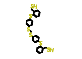 SCc1ccccc1Sc1ccc(SCSc2ccc(Sc3ccccc3CS)cc2)cc1